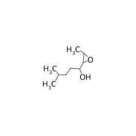 CC(C)CCC(O)C1OC1C